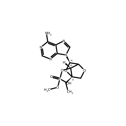 CC[C@@]12COC([C@H](n3cnc4c(N)ncnc43)O1)[C@H]2OP(=O)(O)OC